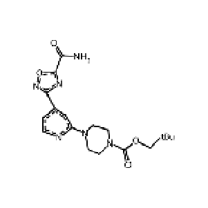 CC(C)(C)COC(=O)N1CCN(c2cc(-c3noc(C(N)=O)n3)ccn2)CC1